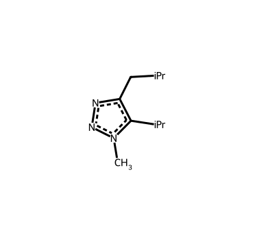 CC(C)Cc1nnn(C)c1C(C)C